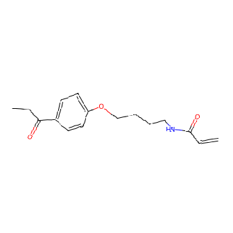 C=CC(=O)NCCCCOc1ccc(C(=O)CC)cc1